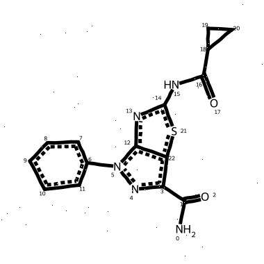 NC(=O)c1nn(-c2ccccc2)c2nc(NC(=O)C3CC3)sc12